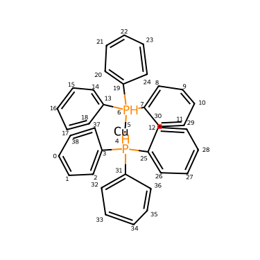 c1ccc([PH]([Cu][PH](c2ccccc2)(c2ccccc2)c2ccccc2)(c2ccccc2)c2ccccc2)cc1